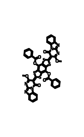 COc1nc2nc3ccccc3n2c(=O)c1=C1Sc2c(OC(=O)c3ccccc3)c3c(c(OC(=O)c4ccccc4)c2S1)SC(=c1c(OC)nc2nc4ccccc4n2c1=O)S3